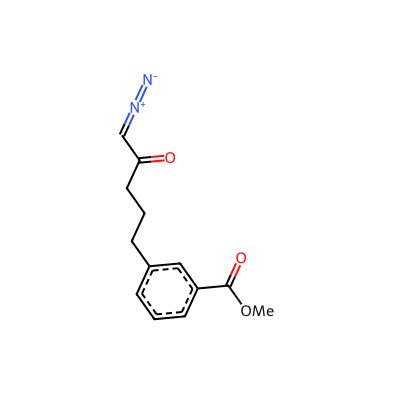 COC(=O)c1cccc(CCCC(=O)C=[N+]=[N-])c1